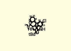 CN(C)C(=O)C1NC(CC(C)(C)C)C2(C(=O)Nc3cc(Cl)ccc32)C1CC1CCCCC1